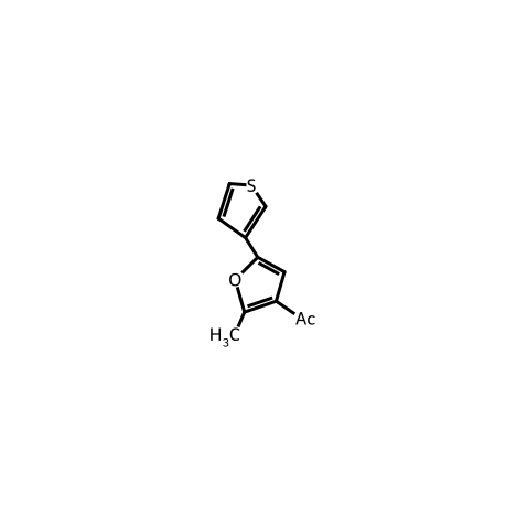 CC(=O)c1cc(-c2ccsc2)oc1C